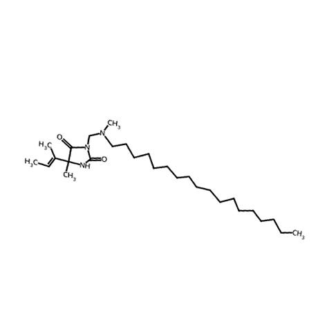 CC=C(C)C1(C)NC(=O)N(CN(C)CCCCCCCCCCCCCCCCCC)C1=O